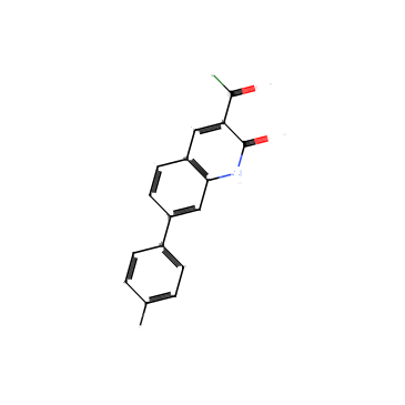 O=C(Cl)c1cc2ccc(-c3ccc(C(F)(F)F)cc3)cc2[nH]c1=O